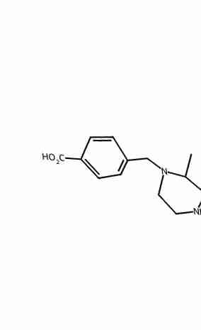 CC1CNCCN1Cc1ccc(C(=O)O)cc1